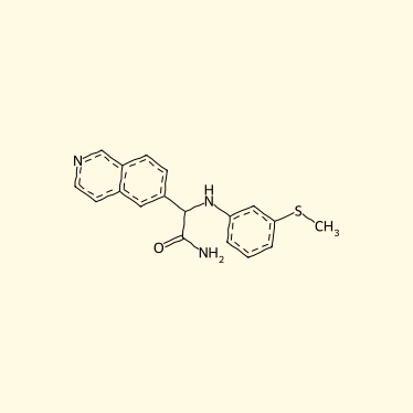 CSc1cccc(NC(C(N)=O)c2ccc3cnccc3c2)c1